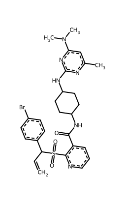 C=CC(c1ccc(Br)cc1)S(=O)(=O)c1ncccc1C(=O)NC1CCC(Nc2nc(C)cc(N(C)C)n2)CC1